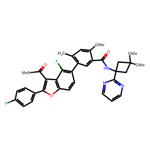 CNC(=O)c1c(-c2ccc(F)cc2)oc2ccc(-c3cc(C(=O)NC4(c5ncccn5)CC(OC)(OC)C4)c(OC)cc3C)c(F)c12